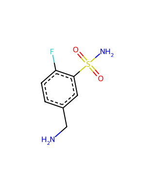 NCc1ccc(F)c(S(N)(=O)=O)c1